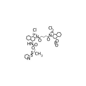 CC(COC(=O)Nc1cc2c(c3ccccc13)[C@H](CCl)CN2C(=O)CCCC(=O)N1C[C@@H](CCl)c2c1cc(OP=O)c1ccccc21)SSc1ccccn1